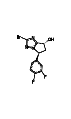 O[C@@H]1C[C@@H](c2ccc(F)c(F)c2)n2nc(Br)nc21